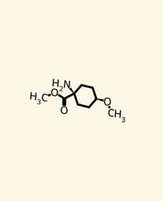 COC(=O)[C@]1(N)CC[C@@H](OC)CC1